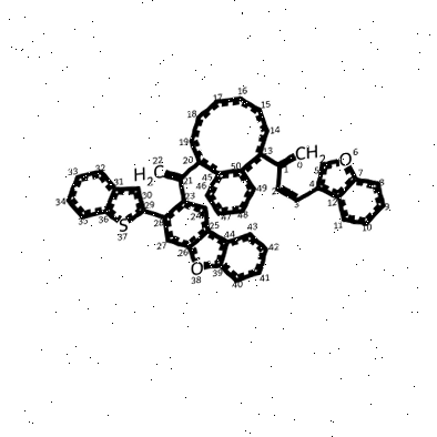 C=C(/C=C\c1coc2ccccc12)c1ccccccc(C(=C)c2cc3c(cc2-c2cc4ccccc4s2)oc2ccccc23)c2ccccc12